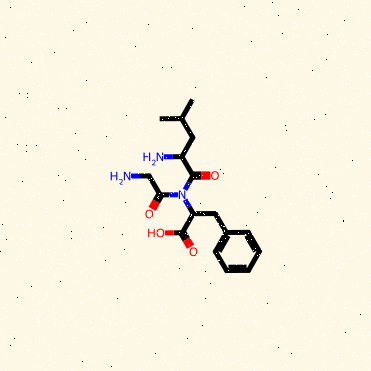 CC(C)CC(N)C(=O)N(C(=O)CN)C(Cc1ccccc1)C(=O)O